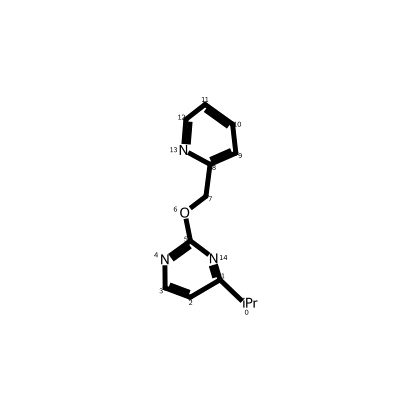 CC(C)c1ccnc(OCc2ccccn2)n1